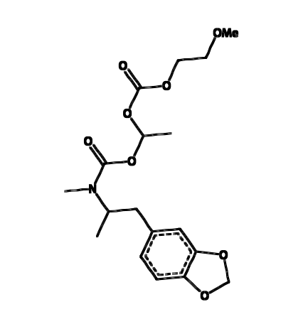 COCCOC(=O)OC(C)OC(=O)N(C)C(C)Cc1ccc2c(c1)OCO2